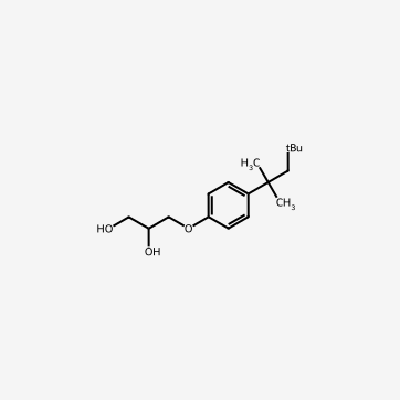 CC(C)(C)CC(C)(C)c1ccc(OCC(O)CO)cc1